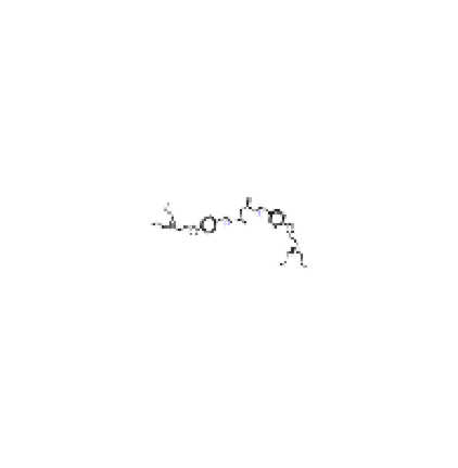 C=C(/C=C/c1ccc(OCCN(CCC)CCC)cc1)CC(=C)/C=C/c1ccc(OCCN(CCC)CCC)cc1